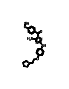 CC(C)(C)Oc1ccc(C(=O)n2nc(Nc3ccc(OCCN4CCCC4)cc3)nc2N)cc1